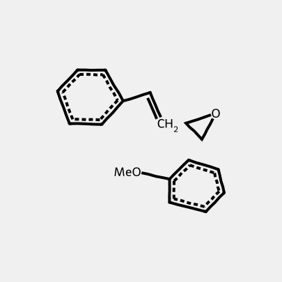 C1CO1.C=Cc1ccccc1.COc1ccccc1